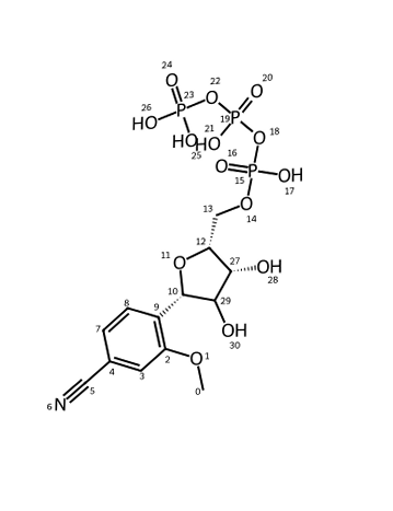 COc1cc(C#N)ccc1[C@@H]1O[C@H](COP(=O)(O)OP(=O)(O)OP(=O)(O)O)[C@H](O)C1O